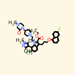 CCOC(=O)c1c(CCCOc2cccc3cc(F)ccc23)c2ccc(Cl)c(-c3c(C)nn(C)c3C)c2n1CCN1CCC(N2CCN(C)CC2=O)CC1